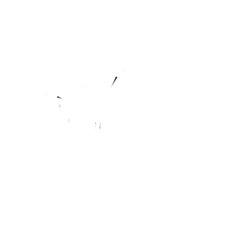 C[C@@H]1[C@@H](O)[C@H](O)[C@@H](O)CN1CC1CCC(C(C)(C)F)CC1